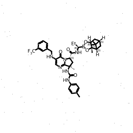 CC[C@H](NC(=O)[C@@H]1C[C@@](C)(NC(=O)Nc2ccc(C)cc2)c2ncc(NCc3cccc(C(F)(F)F)c3)c(=O)n21)B1O[C@@H]2C[C@@H]3C[C@@H](C3(C)C)[C@]2(C)O1